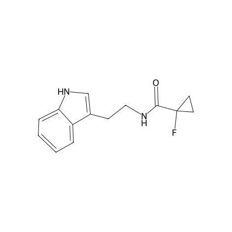 O=C(NCCc1c[nH]c2ccccc12)C1(F)CC1